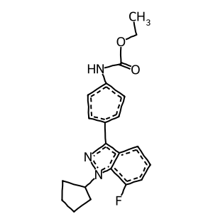 CCOC(=O)Nc1ccc(-c2nn(C3CCCC3)c3c(F)cccc23)cc1